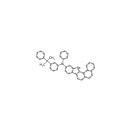 CC(C)(c1ccccc1)c1cccc(N(c2ccccc2)c2ccc3c(c2)[se]c2c3ccc3ccc4ccccc4c32)c1